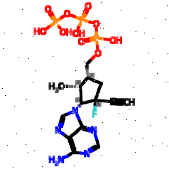 C#C[C@@]1(F)C[C@@H](COP(=O)(O)OP(=O)(O)OP(=O)(O)O)[C@@H](C)[C@H]1n1cnc2c(N)ncnc21